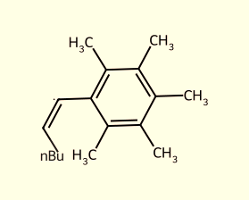 CCCC/C=[C]\c1c(C)c(C)c(C)c(C)c1C